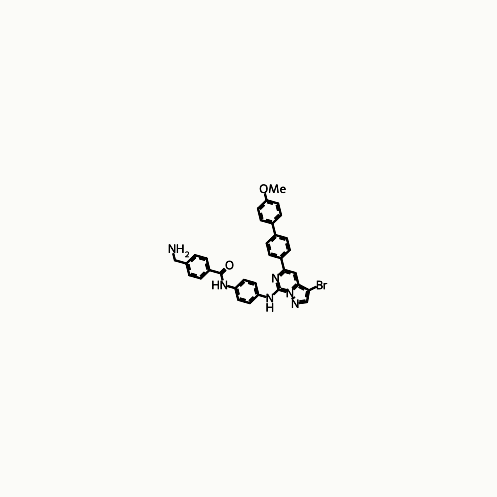 COc1ccc(-c2ccc(-c3cc4c(Br)cnn4c(Nc4ccc(NC(=O)c5ccc(CN)cc5)cc4)n3)cc2)cc1